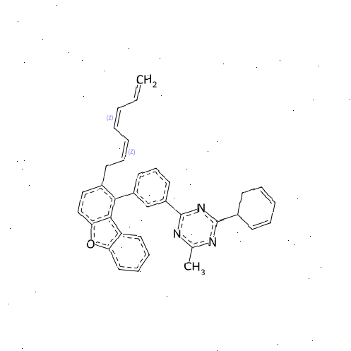 C=C/C=C\C=C/Cc1ccc2oc3ccccc3c2c1-c1cccc(-c2nc(C)nc(C3C=CC=CC3)n2)c1